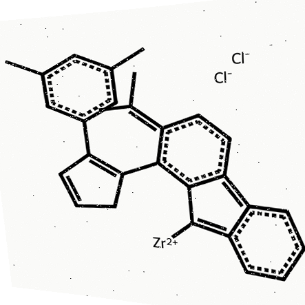 CC(C)=c1ccc2c(c1C1=C(c3cc(C)cc(C)c3)C=CC1)[C]([Zr+2])=c1ccccc1=2.[Cl-].[Cl-]